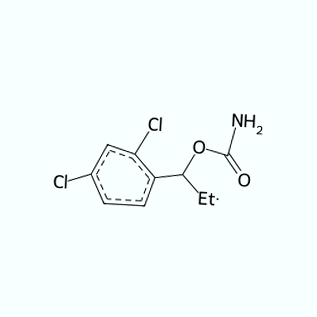 C[CH]C(OC(N)=O)c1ccc(Cl)cc1Cl